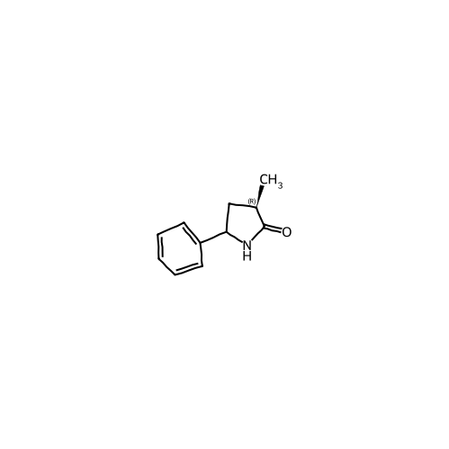 C[C@@H]1CC(c2ccccc2)NC1=O